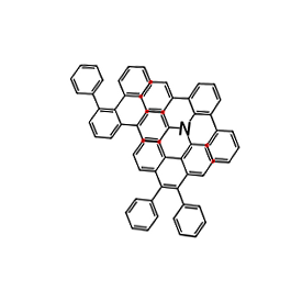 c1ccc(-c2cccc(-c3ccc(N(c4c(-c5ccccc5)cccc4-c4ccccc4)c4cccc5c(-c6ccccc6)c(-c6ccccc6)c6ccccc6c45)cc3)c2-c2ccccc2)cc1